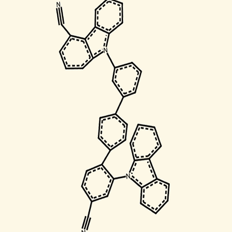 N#Cc1ccc(-c2ccc(-c3cccc(-n4c5ccccc5c5c(C#N)cccc54)c3)cc2)c(-n2c3ccccc3c3ccccc32)c1